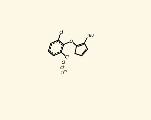 CC(C)(C)C1=C(Oc2c(Cl)cccc2Cl)CC=C1.[Cl-].[Cl-].[Ti+2]